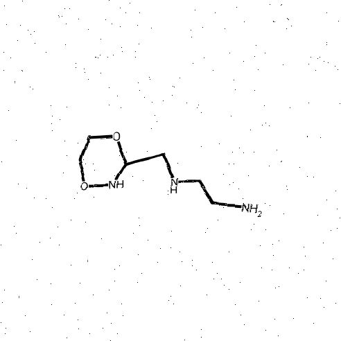 NCCNCC1NOCCO1